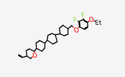 C=CC1CCC(C2CCC(C3CCC(C4CCC(COc5ccc(OCC)c(F)c5F)CC4)CC3)CC2)OC1